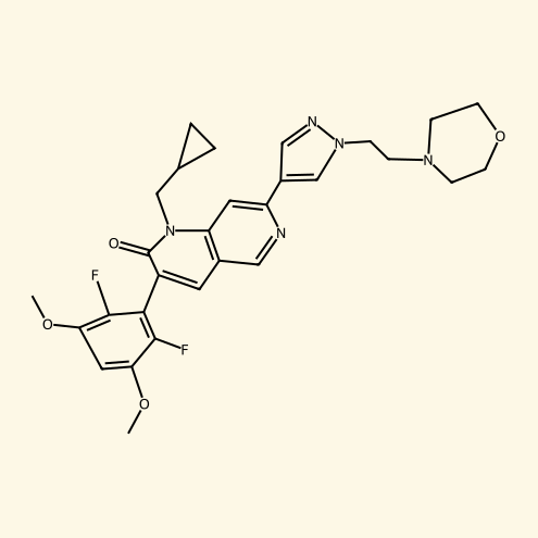 COc1cc(OC)c(F)c(-c2cc3cnc(-c4cnn(CCN5CCOCC5)c4)cc3n(CC3CC3)c2=O)c1F